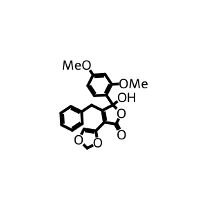 COc1ccc(C2(O)OC(=O)C(C3=COCO3)=C2Cc2ccccc2)c(OC)c1